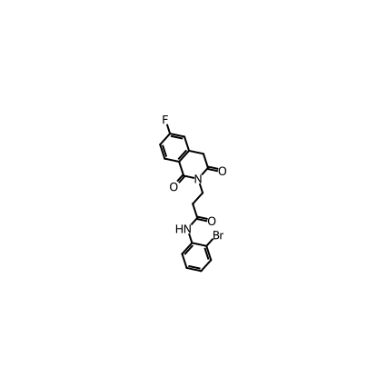 O=C(CCN1C(=O)Cc2cc(F)ccc2C1=O)Nc1ccccc1Br